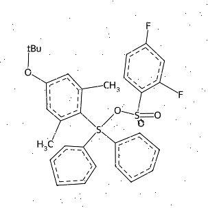 Cc1cc(OC(C)(C)C)cc(C)c1S(OS(=O)(=O)c1ccc(F)cc1F)(c1ccccc1)c1ccccc1